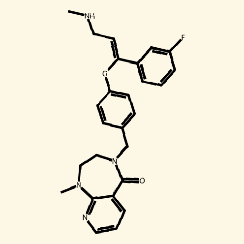 CNC/C=C(\Oc1ccc(CN2CCN(C)c3ncccc3C2=O)cc1)c1cccc(F)c1